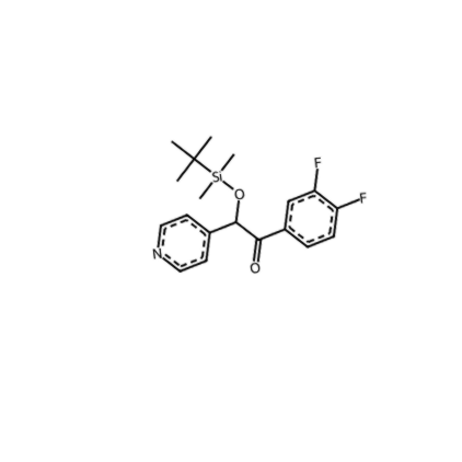 CC(C)(C)[Si](C)(C)OC(C(=O)c1ccc(F)c(F)c1)c1ccncc1